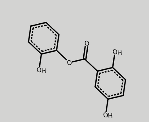 O=C(Oc1ccccc1O)c1cc(O)ccc1O